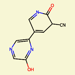 N#CC1C=C(c2cncc(O)n2)C=NC1=O